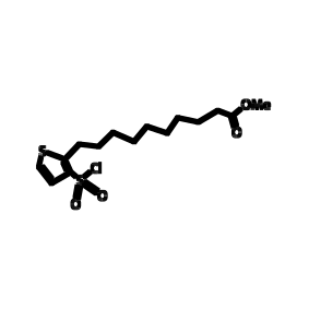 COC(=O)CCCCCCCCCc1sccc1S(=O)(=O)Cl